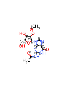 COO[C@@H]1[C@H](O)[C@@H](CO)O[C@H]1n1cnc2c(=O)[nH]c(NC(C)=O)nc21